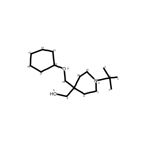 CC(C)(C)N1CCC(CO)(COC2CCCCC2)CC1